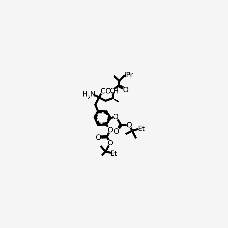 CCC(C)(C)OC(=O)Oc1ccc(CC(N)(C[C@H](C)OC(=O)C(C)C(C)C)C(=O)O)cc1OC(=O)OC(C)(C)CC